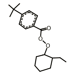 CCC1CCCC[C]1OOC(=O)c1ccc(C(C)(C)C)cc1